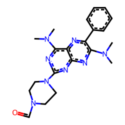 CN(C)c1nc2nc(N3CCN(C=O)CC3)nc(N(C)C)c2nc1-c1ccccc1